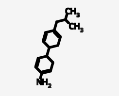 CC(C)CC1=CCC(C2C=CC(N)=CC2)C=C1